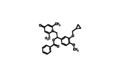 COc1ccc(C(Cn2c(C)cc(=O)cc2C)OC(=O)c2ccccc2)cc1OCC1CC1